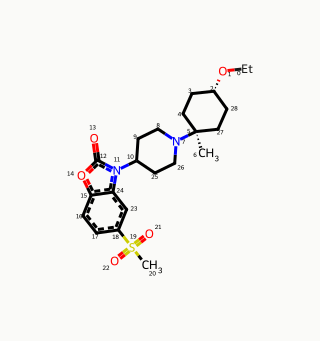 CCO[C@H]1CC[C@](C)(N2CCC(n3c(=O)oc4ccc(S(C)(=O)=O)cc43)CC2)CC1